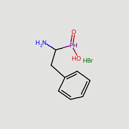 Br.NC(Cc1ccccc1)[PH](=O)O